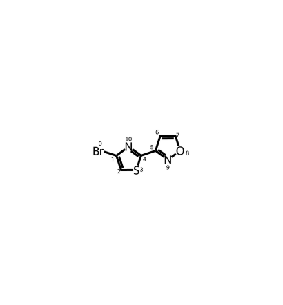 Brc1csc(-c2ccon2)n1